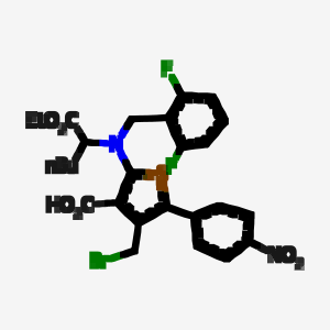 CCCCC(C(=O)OCC)N(Cc1c(F)cccc1F)c1sc(-c2ccc([N+](=O)[O-])cc2)c(CBr)c1C(=O)O